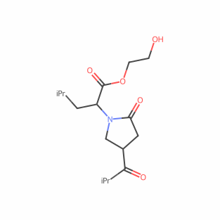 CC(C)CC(C(=O)OCCO)N1CC(C(=O)C(C)C)CC1=O